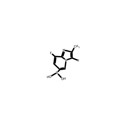 Cc1nc2c(F)cc(B(O)O)cn2c1F